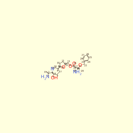 C=C(N)C1=C(O)CCC([C@H]2CC[C@@H](COC(=O)[C@@H](N)[C@@H](C)OCc3ccccc3)O2)C=N1